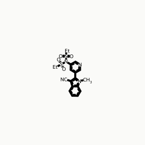 CCS(=O)(=O)N(c1cncc(-c2c(C#N)c3ccccc3n2C)c1)S(=O)(=O)CC